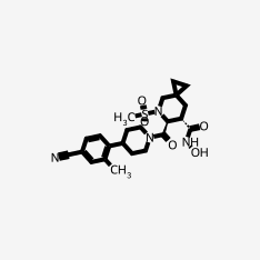 Cc1cc(C#N)ccc1C1CCN(C(=O)[C@@H]2[C@@H](C(=O)NO)CC3(CC3)CN2S(C)(=O)=O)CC1